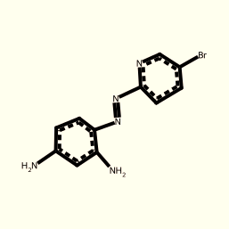 Nc1ccc(N=Nc2ccc(Br)cn2)c(N)c1